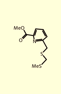 COC(=O)c1cccc(CSCSC)n1